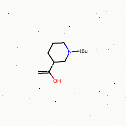 C=C(O)C1CCCN(C(C)(C)C)C1